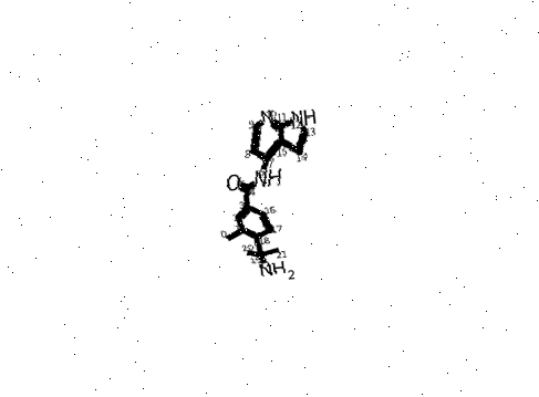 Cc1cc(C(=O)Nc2ccnc3[nH]ccc23)ccc1C(C)(C)N